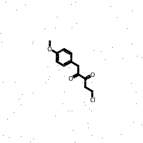 COc1ccc(CC(=O)C(=O)CCCl)cc1